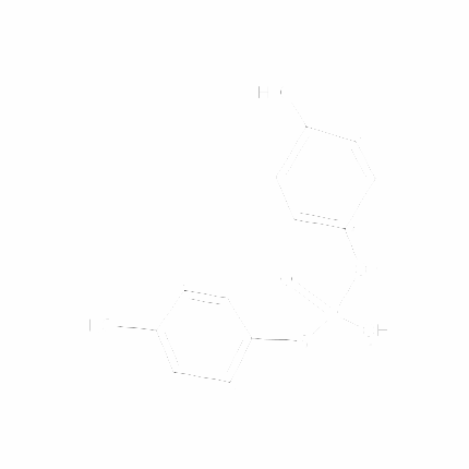 Cc1ccc(OP(=O)(O)Sc2ccc(C)cc2)cc1